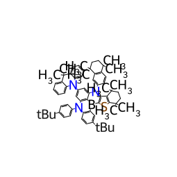 CC(C)(C)c1ccc(N2c3ccc(C(C)(C)C)cc3B3c4sc5c(c4N(c4ccc6c(c4)C(C)(C)CCC6(C)C)c4cc(N6c7ccccc7C(C)(C)c7ccccc76)cc2c43)C(C)(C)CCC5(C)C)cc1